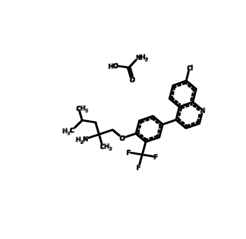 CC(C)CC(C)(N)COc1ccc(-c2ccnc3cc(Cl)ccc23)cc1C(F)(F)F.NC(=O)O